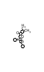 Cc1cc2c(cc1C)C(=O)C(=Cc1nc3oc(-c4ccccc4)cc3n1-c1ccccc1)C2=O